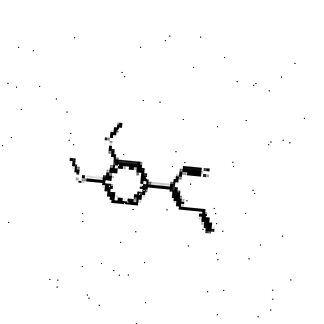 C=CC=C(C=O)c1ccc(OC)c(OC)c1